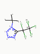 CC(C)(C)n1nnnc1C(Cl)(Cl)C(Cl)(Cl)Cl